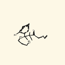 C=CCCC(=O)C(C)(C)C1(c2ccccc2C#N)OCCCO1